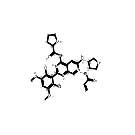 C=CC(=O)N[C@H]1COC[C@H]1Nc1cc2c(NC(=O)C3CCCO3)nc(-c3c(Cl)c(OC)cc(OC)c3Cl)nc2cn1